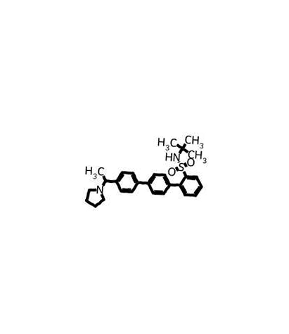 CC(c1ccc(-c2ccc(-c3ccccc3S(=O)(=O)NC(C)(C)C)cc2)cc1)N1CCCC1